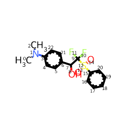 CN(C)c1ccc(C(O)C(F)(F)S(=O)(=O)c2ccccc2)cc1